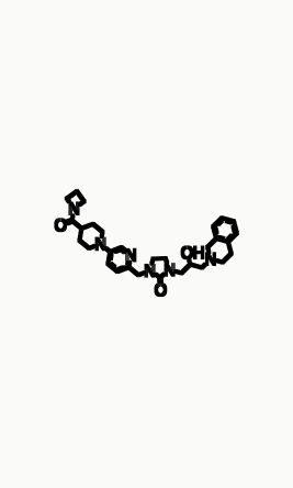 O=C(C1CCN(c2ccc(CN3CCN(CC(O)CN4CCc5ccccc5C4)C3=O)nc2)CC1)N1CCC1